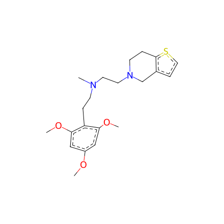 COc1cc(OC)c(CCN(C)CCN2CCc3sccc3C2)c(OC)c1